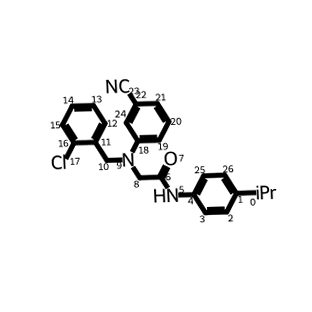 CC(C)c1ccc(NC(=O)CN(Cc2ccccc2Cl)c2cccc(C#N)c2)cc1